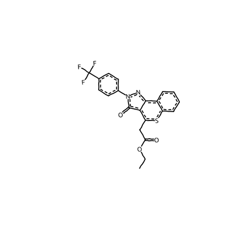 CCOC(=O)Cc1sc2ccccc2c2nn(-c3ccc(C(F)(F)F)cc3)c(=O)c1-2